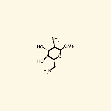 CO[C@H]1O[C@@H](CN)[C@@H](O)[C@H](O)[C@H]1N